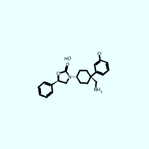 Cl.NC[C@]1(c2cccc(Cl)c2)CC[C@@H](N2C[C@@H](c3ccccc3)OC2=O)CC1